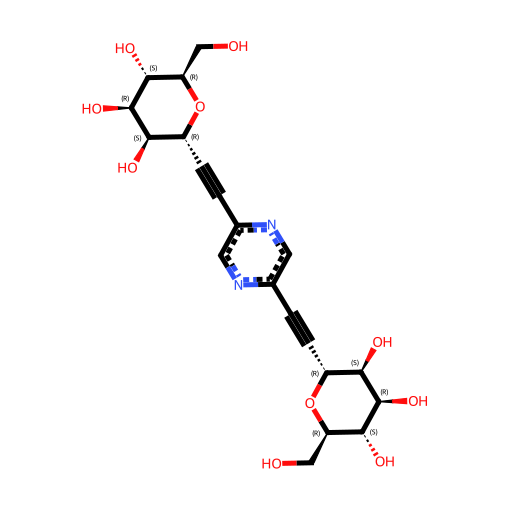 OC[C@H]1O[C@H](C#Cc2cnc(C#C[C@H]3O[C@H](CO)[C@@H](O)[C@H](O)[C@@H]3O)cn2)[C@@H](O)[C@@H](O)[C@@H]1O